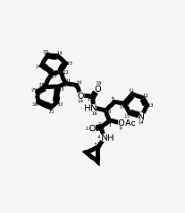 CC(=O)OC(C(=O)NC1CC1)C(Cc1cccnc1)NC(=O)OCC1c2ccccc2-c2ccccc21